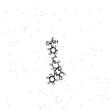 CNC(=O)c1ccc(CCN2CCC3(CC2)CN(c2ccccc2)C(=O)C(C)O3)cc1